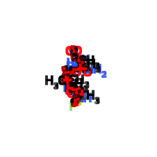 Cc1c(Nc2nc3ccc(F)cc3s2)nnc2c1CCCN2c1ccc(-c2cnn(CC34CC5(OCC[N+]6(Cc7ccc(NC(=O)[C@H](CCCNC(N)=O)NC(=O)[C@@H](NC(=O)CCOCCN8C(=O)C=CC8=O)C(C)C)cc7)CCCC6)C[C@](C)(C3)C[C@](C)(C4)C5)c2C)c(C(=O)O)n1